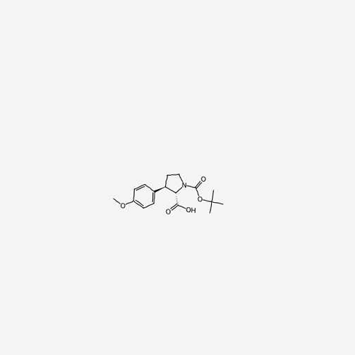 COc1ccc([C@H]2CCN(C(=O)OC(C)(C)C)[C@@H]2C(=O)O)cc1